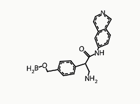 BOCc1ccc(C(CN)C(=O)Nc2ccc3cnccc3c2)cc1